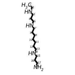 CCNCCCNCCCCCCCNCCCN